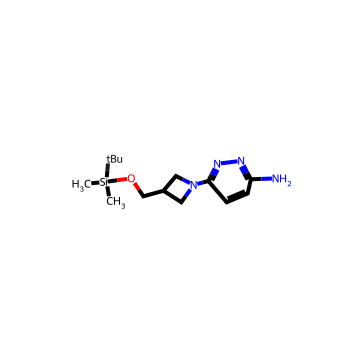 CC(C)(C)[Si](C)(C)OCC1CN(c2ccc(N)nn2)C1